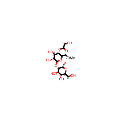 COCC1O[C@@H](O[C@H]2C(O)[C@H](O)C(CO)O[C@H]2O)[C@@H](O)C(O)[C@@H]1OC(=O)CO